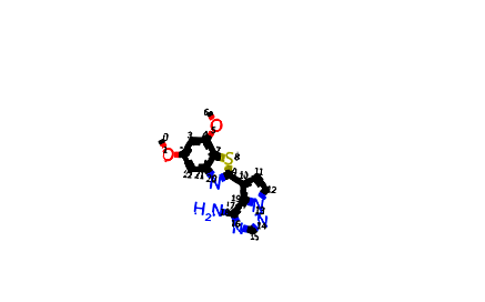 COc1cc(OC)c2sc(-c3ccn4ncnc(N)c34)nc2c1